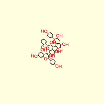 Oc1ccc(C2Oc3c(c(O)cc(O)c3C3c4c(O)cc5c(c4OC(c4ccccc4O)C3O)C3c4c(O)cc(O)cc4OC(c4ccc(O)cc4)(O5)C3O)CC2O)cc1